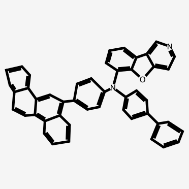 c1ccc(-c2ccc(N(c3ccc(-c4cc5c6ccccc6ccc5c5ccccc45)cc3)c3cccc4c3oc3ccncc34)cc2)cc1